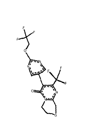 O=c1c(-c2cnc(OCC(F)(F)F)nc2)c(C(F)(F)F)nc2n1CCOC2